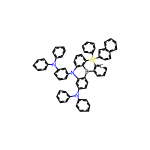 c1ccc(N(c2ccccc2)c2cccc(N3c4cc(N(c5ccccc5)c5ccccc5)ccc4B4c5ccccc5S(c5ccccc5)(c5ccc6ccccc6c5)c5cccc3c54)c2)cc1